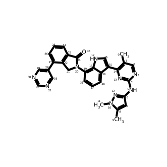 Cc1cnc(Nc2cc(C)n(C)n2)nc1-c1c[nH]c2c(N3Cc4c(cccc4-c4cncnc4)C3=O)cccc12